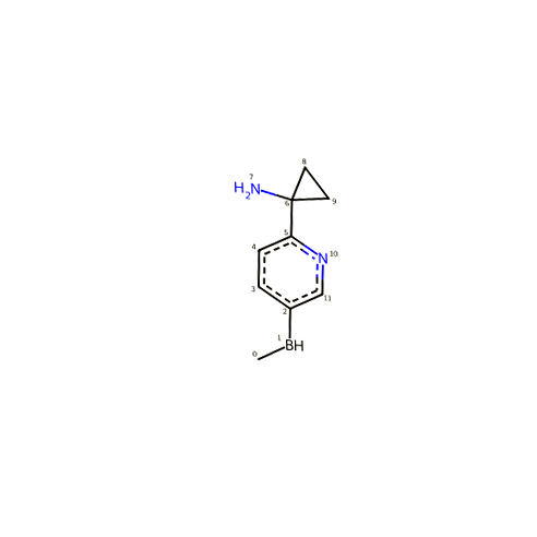 CBc1ccc(C2(N)CC2)nc1